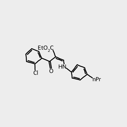 CCCc1ccc(NC=C(C(=O)OCC)C(=O)c2ccccc2Cl)cc1